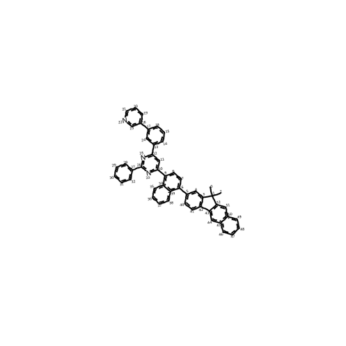 CC1(C)c2cc(-c3ccc(-c4cc(-c5cccc(-c6cccnc6)c5)nc(-c5ccccc5)n4)c4ccccc34)ccc2-c2cc3ccccc3cc21